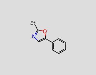 [CH2]Cc1ncc(-c2ccccc2)o1